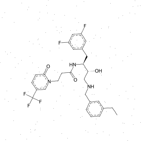 CCc1cccc(CNC[C@@H](O)[C@H](Cc2cc(F)cc(F)c2)NC(=O)CCn2cc(C(F)(F)F)ccc2=O)c1